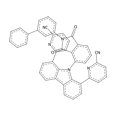 N#Cc1cccc(-c2cccc3c4cccc(-c5cccc(C#N)n5)c4n(-c4cccc5c4C(=O)N(c4cccc(-c6ccccc6)c4)C5=O)c23)n1